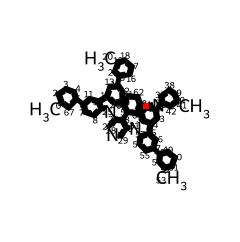 Cc1cccc(-c2ccc3c(c2)c2cc(-c4cccc(C)c4)ccc2n3-c2cncc(-n3c4ccc(-c5cccc(C)c5)cc4c4cc(-c5cccc(C)c5)ccc43)c2-c2cccc(C#N)c2)c1